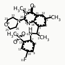 Cc1cc(C(C)Nc2ccc(F)cc2S(C)(=O)=O)c2nc(N3CCOCC3)n(C)c(=O)c2c1